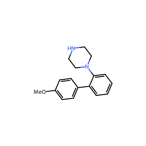 COc1ccc(-c2ccccc2N2CCNCC2)cc1